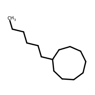 CCCCCC[C]1CCCCCCCC1